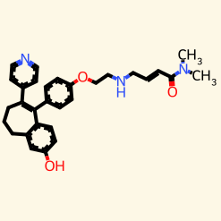 CN(C)C(=O)/C=C/CNCCOc1ccc(C2=C(c3ccncc3)CCCc3cc(O)ccc32)cc1